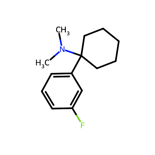 CN(C)C1(c2cccc(F)c2)CCCCC1